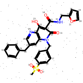 CS(=O)(=O)c1ccc(Cn2c(=O)c(C(=O)NCc3ccco3)c(O)c3ncc(Cc4ccccc4)cc32)cc1